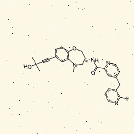 CN1C[C@@H](NC(=O)c2cc(Cc3cccnc3F)ccn2)COc2ccc(C#CC(C)(C)O)cc21